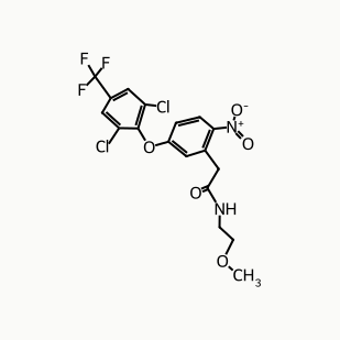 COCCNC(=O)Cc1cc(Oc2c(Cl)cc(C(F)(F)F)cc2Cl)ccc1[N+](=O)[O-]